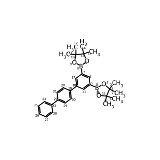 CC1(C)OB(c2cc(B3OC(C)(C)C(C)(C)O3)cc(-c3ccc(-c4ccccc4)cc3)c2)OC1(C)C